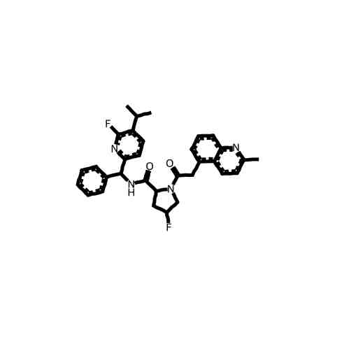 Cc1ccc2c(CC(=O)N3CC(F)CC3C(=O)NC(c3ccccc3)c3ccc(C(C)C)c(F)n3)cccc2n1